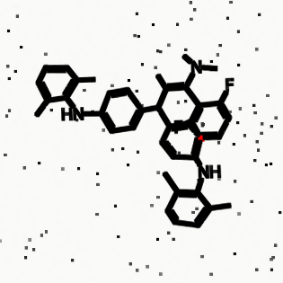 C/C(=C(/c1c(F)cccc1F)N(C)C)C(c1ccc(Nc2c(C)cccc2C)cc1)c1ccc(Nc2c(C)cccc2C)cc1